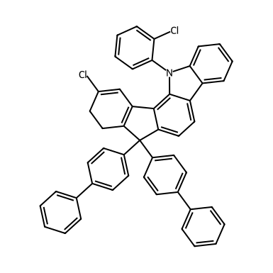 ClC1=CC2=C(CC1)C(c1ccc(-c3ccccc3)cc1)(c1ccc(-c3ccccc3)cc1)c1ccc3c4ccccc4n(-c4ccccc4Cl)c3c12